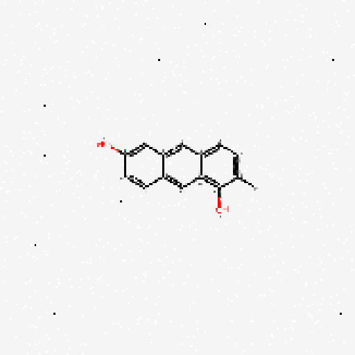 Cc1ccc2cc3cc(O)ccc3cc2c1O